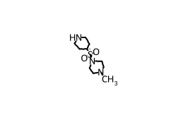 CN1CCN(S(=O)(=O)[C]2CCNCC2)CC1